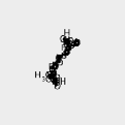 Cn1c(=O)n(C2CCC(=O)NC2=O)c2ccc(C3CCN(CC(=O)N4CC[C@@H](COc5ccc6cc(OCc7ccccc7)c(N7CC(=O)NS7(=O)=O)c(F)c6c5)C4)CC3(F)F)cc21